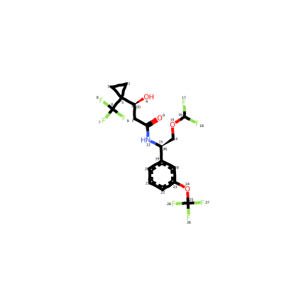 O=C(C[C@H](O)C1(C(F)(F)F)CC1)N[C@@H](COC(F)F)c1cccc(OC(F)(F)F)c1